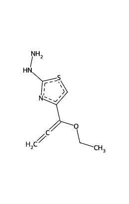 C=C=C(OCC)c1csc(NN)n1